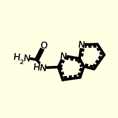 NC(=O)Nc1ccc2cccnc2n1